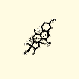 C#CC1(O)C(F)C[C@H]2[C@@H]3C(O)C=C4CC(O)CC[C@]4(C)[C@@H]3CC[C@@]21C